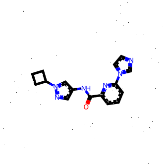 O=C(Nc1cnn(C2CCC2)c1)c1cccc(-n2ccnc2)n1